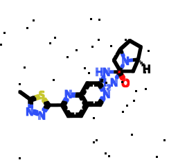 Cc1nnc(-c2ccc3cnc(NC(=O)N4C5CC[C@H]4C[C@@H](N)C5)cc3n2)s1